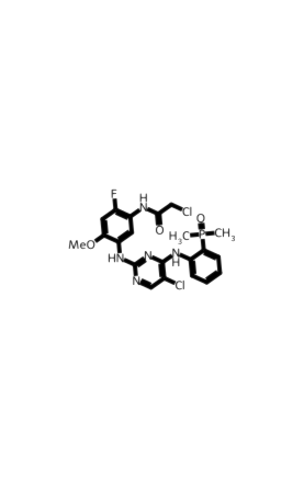 COc1cc(F)c(NC(=O)CCl)cc1Nc1ncc(Cl)c(Nc2ccccc2P(C)(C)=O)n1